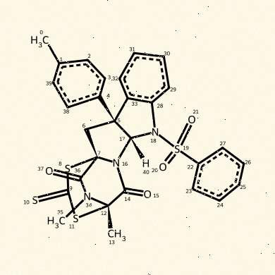 Cc1ccc([C@]23C[C@@]45SC(=S)S[C@@](C)(C(=O)N4[C@H]2N(S(=O)(=O)c2ccccc2)c2ccccc23)N(C)C5=O)cc1